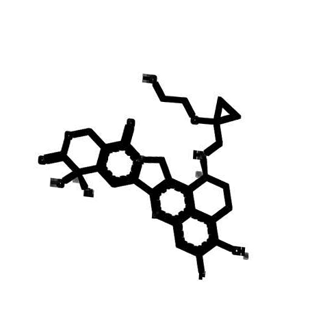 CC[C@@]1(O)C(=O)OCc2c1cc1n(c2=O)Cc2c-1nc1cc(F)c(C)c3c1c2[C@@H](NCC1(OCCO)CC1)CC3